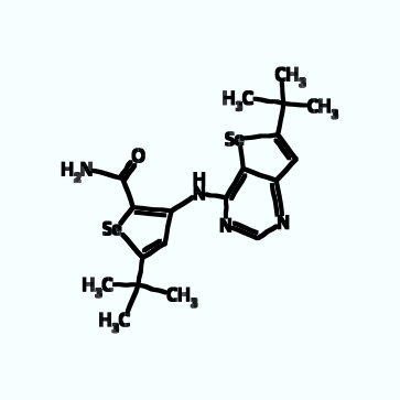 CC(C)(C)c1cc(Nc2ncnc3cc(C(C)(C)C)[se]c23)c(C(N)=O)[se]1